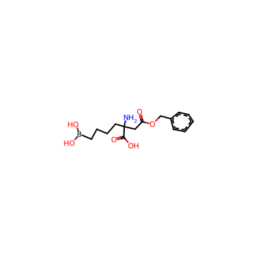 NC(CCCCB(O)O)(CC(=O)OCc1ccccc1)C(=O)O